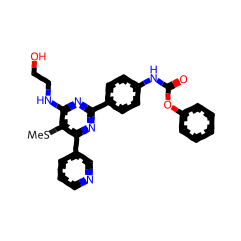 CSc1c(NCCO)nc(-c2ccc(NC(=O)Oc3ccccc3)cc2)nc1-c1cccnc1